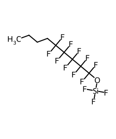 CCCCC(F)(F)C(F)(F)C(F)(F)C(F)(F)C(F)(F)O[Si](F)(F)F